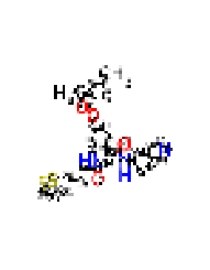 Cc1ccc(C(=O)OCc2ccc([C@@H](CNC(=O)CCCC[C@@H]3CCSS3)C(=O)Nc3ccc4cnccc4c3)cc2)c(C)c1